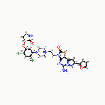 Nc1nc2c(sc(=O)n2CCN2CCN(c3cc(O[C@H]4CCNC4=O)c(F)cc3F)CC2)c2cc(-c3ccco3)nn12